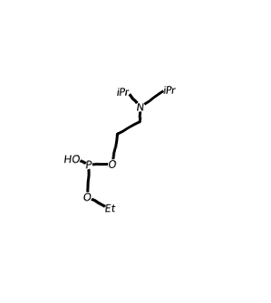 CCOP(O)OCCN(C(C)C)C(C)C